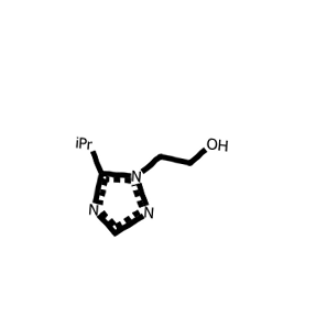 CC(C)c1ncnn1CCO